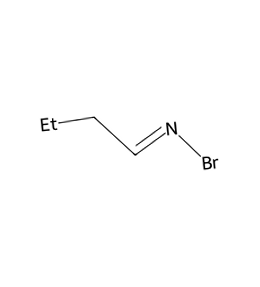 CCCC=NBr